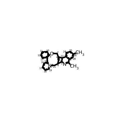 CC1=NC2C3C=C(COc4ccccc4-c4cccc[n+]4C3)C2c2ccc(C)cc21